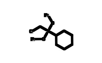 CC(C)O[Si](CCl)(OC(C)C)C1CCCCC1